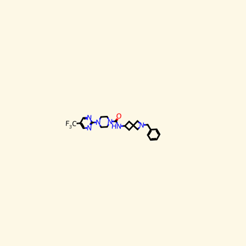 O=C(NC1CC2(C1)CN(Cc1ccccc1)C2)N1CCN(c2ncc(C(F)(F)F)cn2)CC1